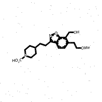 COCCc1ccc2c(CCC3CCN(C(=O)O)CC3)noc2c1CO